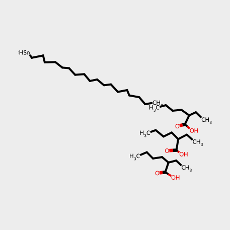 CCCCC(CC)C(=O)O.CCCCC(CC)C(=O)O.CCCCC(CC)C(=O)O.CCCCCCCCCCCCCCCCC[CH2][SnH]